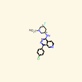 O=C(O)N1C[C@H](F)C[C@@H](Nc2nnc(-c3ccc(Cl)cc3)c3cnccc23)C1